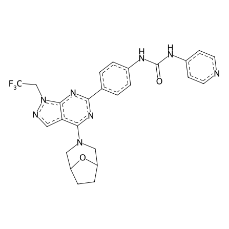 O=C(Nc1ccncc1)Nc1ccc(-c2nc(N3CC4CCC(C3)O4)c3cnn(CC(F)(F)F)c3n2)cc1